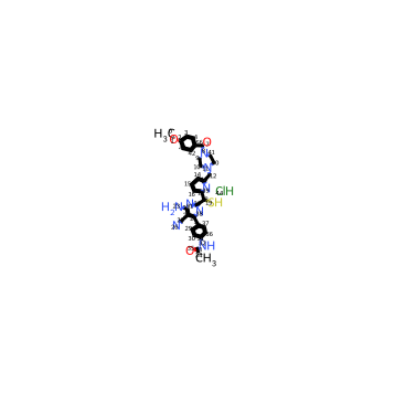 COc1ccc(C(=O)N2CCN(Cc3cccc(C(S)c4nc(N)c(C#N)c(-c5ccc(NC(C)=O)cc5)n4)n3)CC2)cc1.Cl